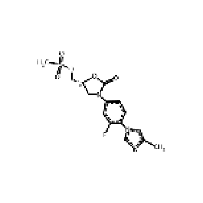 Cc1cn(-c2ccc(N3C[C@H](COS(C)(=O)=O)OC3=O)cc2F)cn1